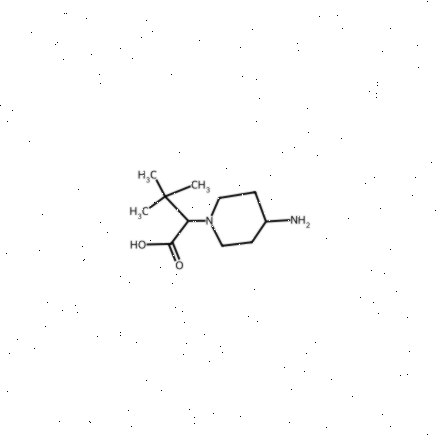 CC(C)(C)C(C(=O)O)N1CCC(N)CC1